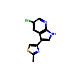 Cc1nc(-c2c[nH]c3ncc(Br)cc23)cs1